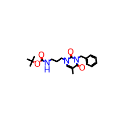 Cc1cn(CCCNC(=O)OC(C)(C)C)c(=O)n(Cc2ccccc2)c1=O